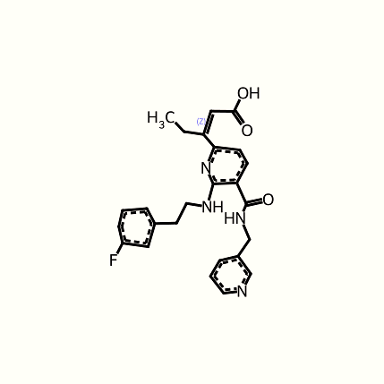 CC/C(=C/C(=O)O)c1ccc(C(=O)NCc2cccnc2)c(NCCc2cccc(F)c2)n1